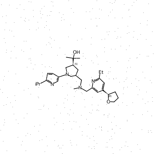 CCc1cc([C@H]2CCCO2)cc(CN(C)CC2C[C@H](C(C)(C)O)CN(c3ccc(C(C)C)nc3)C2)n1